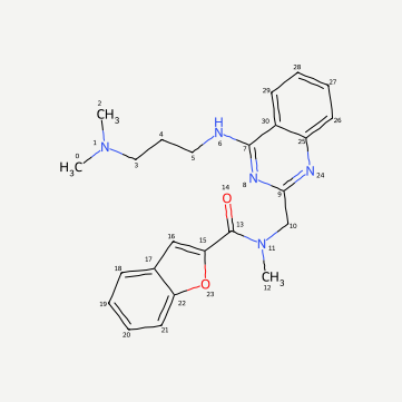 CN(C)CCCNc1nc(CN(C)C(=O)c2cc3ccccc3o2)nc2ccccc12